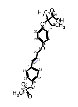 CCC(C)(Oc1ccc(OC/C=C/c2ccc(OS(C)(=O)=O)cc2)cc1)C(=O)O